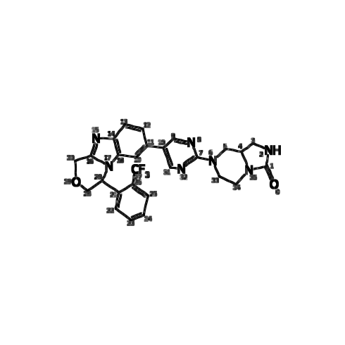 O=C1NCC2CN(c3ncc(-c4ccc5nc6n(c5c4)C(c4ccccc4C(F)(F)F)COC6)cn3)CCN12